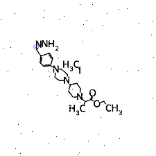 CCOC(=O)C(C)N1CCC(N2CCN(c3ccc(/C=N\N)cc3)CC2)CC1.CI